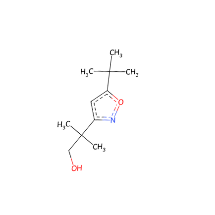 CC(C)(C)c1cc(C(C)(C)CO)no1